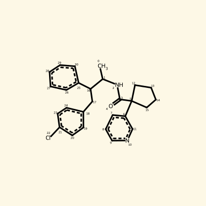 CC(NC(=O)C1(c2cccnc2)CCCC1)C(Cc1ccc(Cl)cc1)c1ccccc1